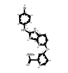 CNC(=O)c1cc(Oc2ccc3[nH]c(Nc4ccc(Br)cc4)nc3n2)ccn1